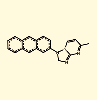 CC1=NC2=NCN(c3ccc4cc5ccccc5cc4c3)N2C=C1